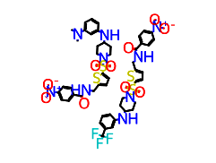 CN(C)c1cccc(NC2CCN(S(=O)(=O)c3ccc(CNC(=O)c4ccc([N+](=O)[O-])cc4)s3)CC2)c1.O=C(NCc1ccc(S(=O)(=O)N2CCC(Nc3cccc(C(F)(F)F)c3)CC2)s1)c1ccc([N+](=O)[O-])cc1